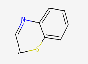 [C]1C=Nc2ccccc2S1